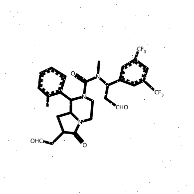 Cc1ccccc1C1C2CC(CC=O)C(=O)N2CCN1C(=O)N(C)C(CC=O)c1cc(C(F)(F)F)cc(C(F)(F)F)c1